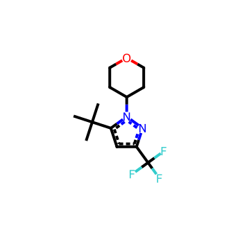 CC(C)(C)c1cc(C(F)(F)F)nn1C1CCOCC1